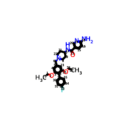 CCOc1cc(CN2CCC(NC(=O)c3ccc(N)nc3)CC2)cc(OCC)c1-c1ccc(F)cc1